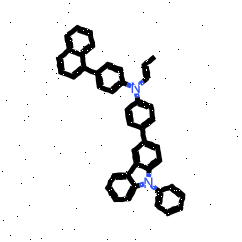 C/C=C/N(c1ccc(-c2ccc3c(c2)c2ccccc2n3-c2ccccc2)cc1)c1ccc(-c2cccc3ccccc23)cc1